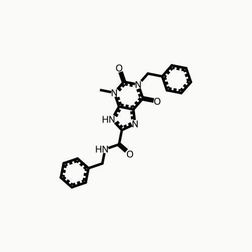 Cn1c(=O)n(Cc2ccccc2)c(=O)c2nc(C(=O)NCc3ccccc3)[nH]c21